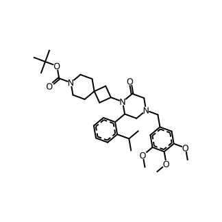 COc1cc(CN2CC(=O)N(C3CC4(CCN(C(=O)OC(C)(C)C)CC4)C3)C(c3ccccc3C(C)C)C2)cc(OC)c1OC